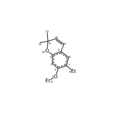 CCOc1cc2c(cc1CC)C=CC(C)(C)O2